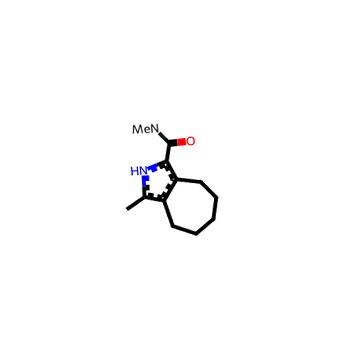 CNC(=O)c1[nH]c(C)c2c1CCCCC2